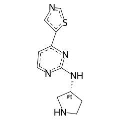 c1cc(-c2cncs2)nc(N[C@@H]2CCNC2)n1